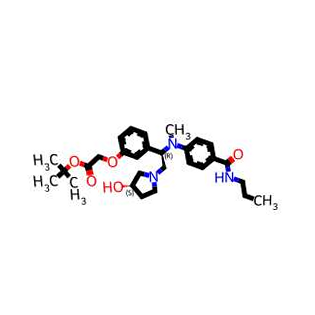 CCCNC(=O)c1ccc(N(C)[C@@H](CN2CC[C@H](O)C2)c2cccc(OCC(=O)OC(C)(C)C)c2)cc1